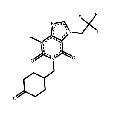 Cn1c(=O)n(CC2CCC(=O)CC2)c(=O)c2c1ncn2CC(F)(F)F